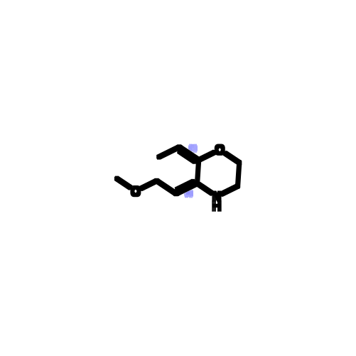 C/C=C1/OCCN/C1=C/COC